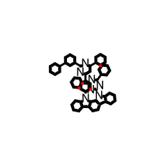 c1ccc(-c2cccc(-c3nc(-c4ccccc4)cc(-c4ccc(-n5c6ccccc6c6ccc7c8ccccc8n(-c8nc(-c9ccccc9)nc(-c9ccccc9)n8)c7c65)cc4)n3)c2)cc1